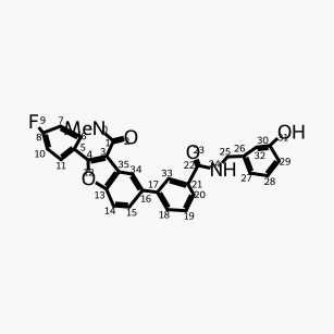 CNC(=O)c1c(-c2ccc(F)cc2)oc2ccc(-c3cccc(C(=O)NCc4cccc(O)c4)c3)cc12